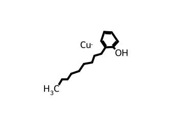 CCCCCCCCCc1ccccc1O.[Cu]